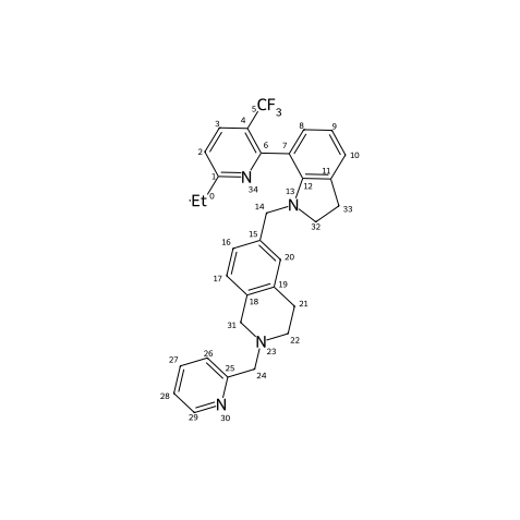 C[CH]c1ccc(C(F)(F)F)c(-c2cccc3c2N(Cc2ccc4c(c2)CCN(Cc2ccccn2)C4)CC3)n1